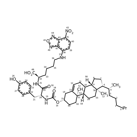 CC(C)CCC[C@@H](C)[C@H]1CC[C@H]2C3CC=C4C[C@@H](OC(=O)N[C@H](Cc5ccc(O)cc5)C(=O)N[C@H](CCCCNc5ccc([N+](=O)[O-])c6nonc56)C(=O)O)CC[C@]4(C)[C@H]3CC[C@]12C